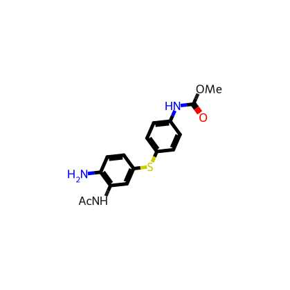 COC(=O)Nc1ccc(Sc2ccc(N)c(NC(C)=O)c2)cc1